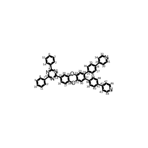 c1ccc(-c2nc(-c3ccccc3)nc(-c3ccc4c(c3)Oc3cc(-c5ccc(-c6ccncc6)cc5)c(-c5ccc(-c6ccncc6)cc5)cc3O4)n2)cc1